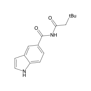 CC(C)(C)CC(=O)NC(=O)c1ccc2[nH]ccc2c1